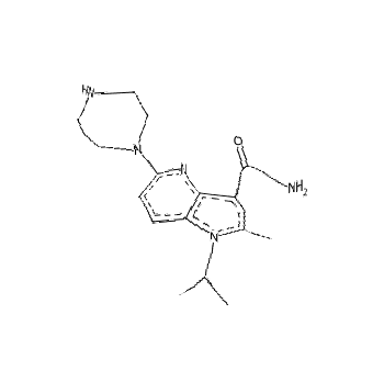 Cc1c(C(N)=O)c2nc(N3CCNCC3)ccc2n1C(C)C